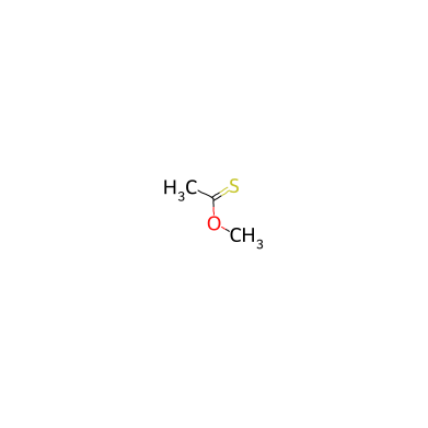 COC(C)=S